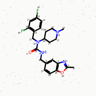 Cc1nc2cc(CNC(=O)N(Cc3ccc(F)cc3F)C3CCN(C)CC3)ccc2o1